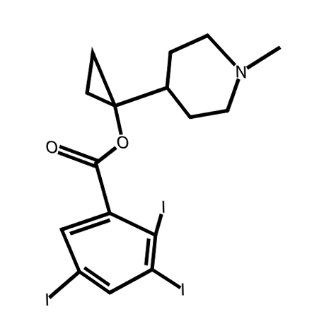 CN1CCC(C2(OC(=O)c3cc(I)cc(I)c3I)CC2)CC1